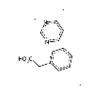 O=C(O)Cc1ccccc1.c1cncnc1